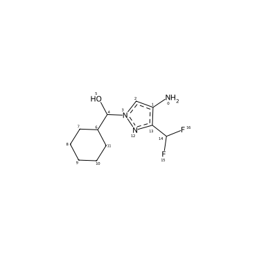 Nc1cn(C(O)C2CCCCC2)nc1C(F)F